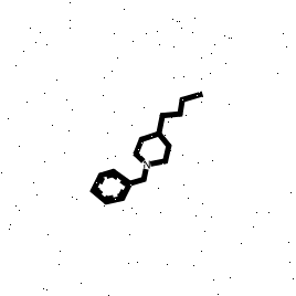 CCCCC1CCN(Cc2ccccc2)CC1